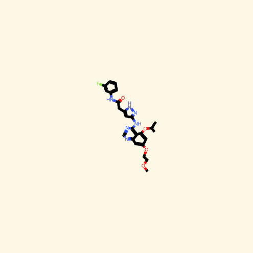 COCCOc1cc(OC(C)C)c2c(Nc3cc(CC(=O)Nc4cccc(F)c4)[nH]n3)ncnc2c1